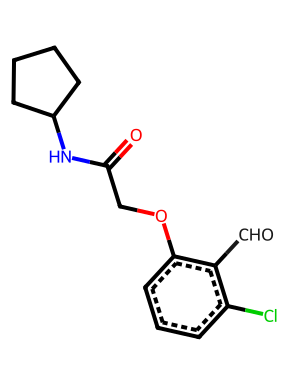 O=Cc1c(Cl)cccc1OCC(=O)NC1CCCC1